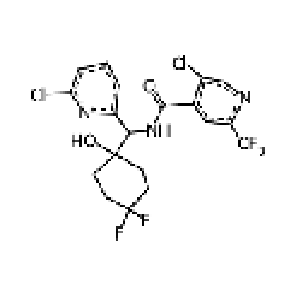 O=C(NC(c1cccc(Cl)n1)C1(O)CCC(F)(F)CC1)c1cc(C(F)(F)F)ncc1Cl